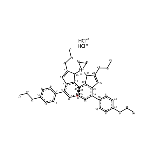 CCCC1=Cc2c(-c3ccc(CCC)cc3)cccc2[CH]1[Hf]1([CH]2C(CCC)=Cc3c(-c4ccc(CCC)cc4)cccc32)[CH2][CH2]1.Cl.Cl